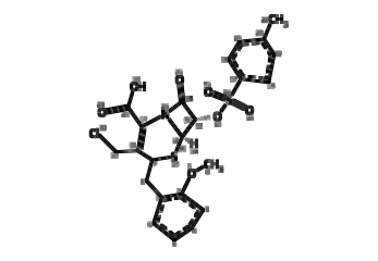 COc1ccccc1CC1S[C@@H]2[C@@H](OS(=O)(=O)c3ccc(C)cc3)C(=O)N2C(C(=O)O)=C1CCl